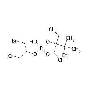 CCC(C)(C)C(CCl)(CCl)OP(=O)(O)OC(CCl)CBr